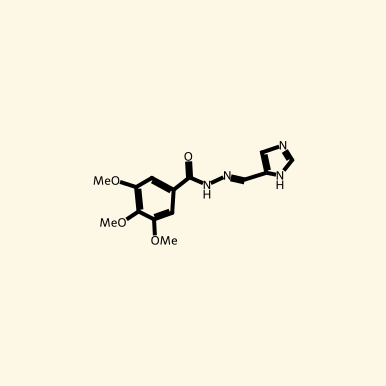 COc1cc(C(=O)N/N=C/c2cnc[nH]2)cc(OC)c1OC